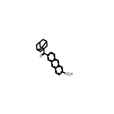 O=C(O)c1ccc2cc3cc(C(=O)C45CC6CC(CC(C6)C4)C5)ccc3cc2c1